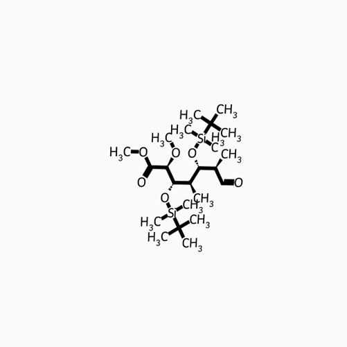 COC(=O)[C@@H](OC)[C@@H](O[Si](C)(C)C(C)(C)C)[C@H](C)[C@H](O[Si](C)(C)C(C)(C)C)[C@@H](C)C=O